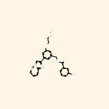 Bc1cccc(C(=O)NCc2cc(OCCOC)cc(-c3cn4ncccc4n3)c2)c1